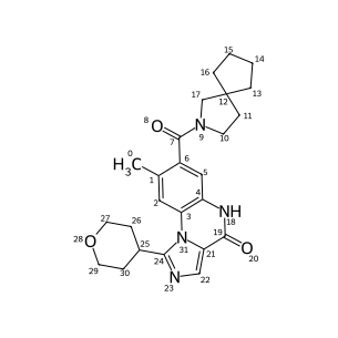 Cc1cc2c(cc1C(=O)N1CCC3(CCCC3)C1)[nH]c(=O)c1cnc(C3CCOCC3)n12